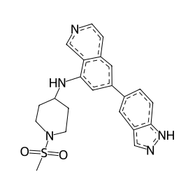 CS(=O)(=O)N1CCC(Nc2cc(-c3ccc4[nH]ncc4c3)cc3ccncc23)CC1